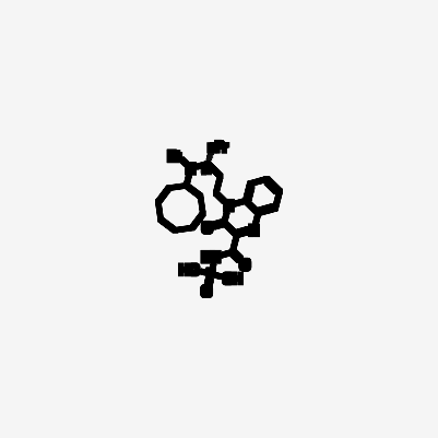 CCC[C@H](CCn1c(=O)c(C(=O)NP(=O)(O)O)nc2ccccc21)N(CC)C1CCCCCCC1